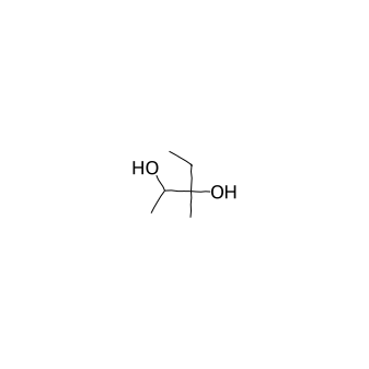 CCC(C)(O)C(C)O